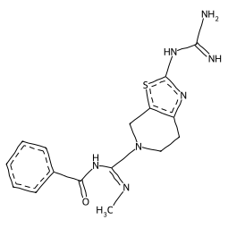 CN=C(NC(=O)c1ccccc1)N1CCc2nc(NC(=N)N)sc2C1